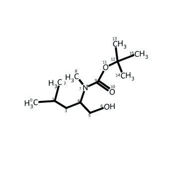 CC(C)CC(CO)N(C)C(=O)OC(C)(C)C